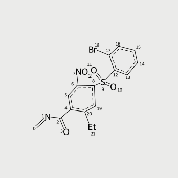 C=NC(=O)c1cc([N+](=O)[O-])c(S(=O)(=O)c2ccccc2Br)cc1CC